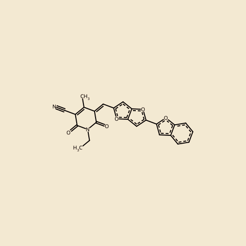 CCN1C(=O)C(C#N)=C(C)/C(=C/c2cc3oc(-c4cc5ccccc5o4)cc3o2)C1=O